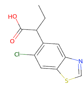 CCC(C(=O)O)c1cc2ncsc2cc1Cl